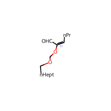 CCC/C=C(\C=O)OCOCCCCCCCC